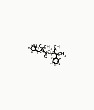 C#CC(COC(=O)C1C(C=C2CCCC2)C1(C)C)=C(C)c1ccccc1